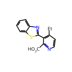 CCc1ccnc(C(=O)O)c1-c1nc2ccccc2s1